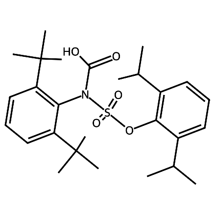 CC(C)c1cccc(C(C)C)c1OS(=O)(=O)N(C(=O)O)c1c(C(C)(C)C)cccc1C(C)(C)C